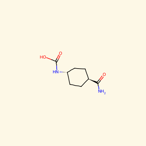 NC(=O)[C@H]1CC[C@H](NC(=O)O)CC1